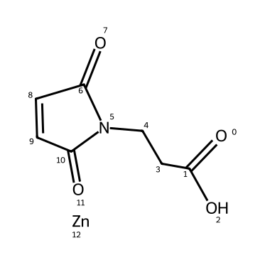 O=C(O)CCN1C(=O)C=CC1=O.[Zn]